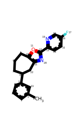 Cc1cccc(C2CCCc3oc(-c4ccc(F)cn4)nc3C2)c1